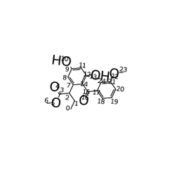 CCC(C(=O)OC)c1cc(O)cc(O)c1C(=O)c1cccc(OC)c1